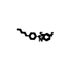 CCCCC[C@H]1CC[C@H](c2nc3ccc(F)cc3s2)CC1